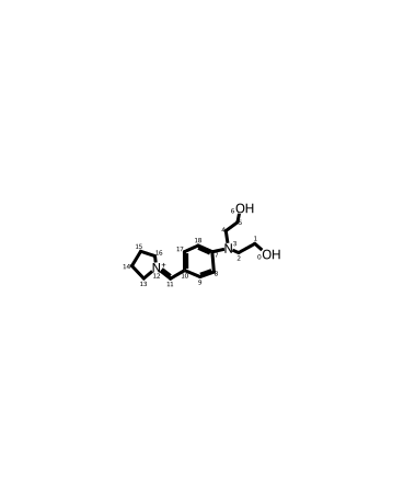 OCCN(CCO)c1ccc(C=[N+]2CCCC2)cc1